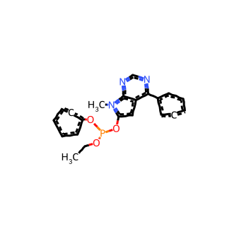 CCOP(Oc1ccccc1)Oc1cc2c(-c3ccccc3)ncnc2n1C